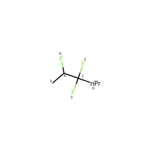 CCCC(F)(F)C(C)F